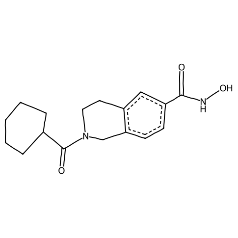 O=C(NO)c1ccc2c(c1)CCN(C(=O)C1CCCCC1)C2